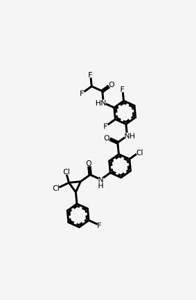 O=C(Nc1ccc(F)c(NC(=O)C(F)F)c1F)c1cc(NC(=O)C2C(c3cccc(F)c3)C2(Cl)Cl)ccc1Cl